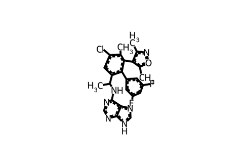 Cc1noc(C)c1-c1c(C)c(Cl)cc(C(C)Nc2ncnc3[nH]cnc23)c1-c1cc(F)cc(F)c1